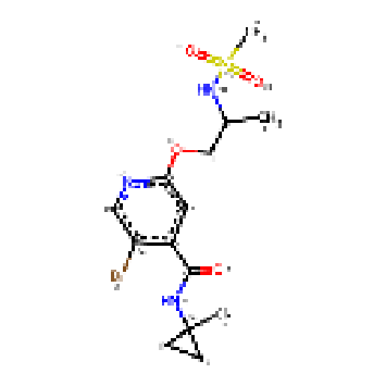 CC(COc1cc(C(=O)NC2(C#N)CC2)c(Br)cn1)NS(=O)(=O)C(F)(F)F